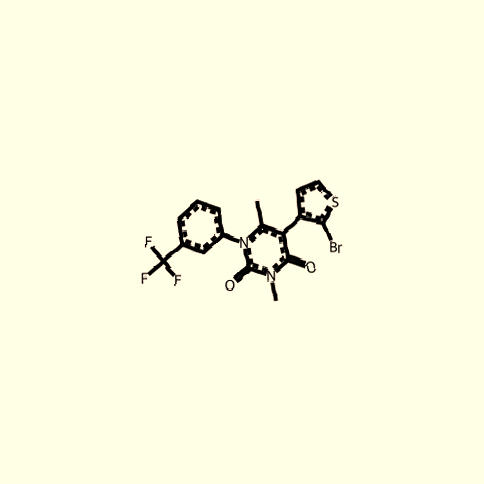 Cc1c(-c2ccsc2Br)c(=O)n(C)c(=O)n1-c1cccc(C(F)(F)F)c1